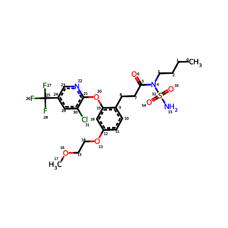 CCCCN(C(=O)CCc1ccc(OCCOC)cc1Oc1ncc(C(F)(F)F)cc1Cl)S(N)(=O)=O